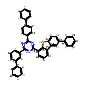 c1ccc(-c2ccc(-c3nc(-c4cccc(-c5ccccc5)c4)nc(-c4cccc5c4sc4ccc(-c6ccccc6)cc45)n3)cc2)cc1